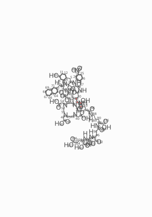 CN(C(=O)[C@@H](Cc1ccc(O)cc1)NC(=O)[C@H](Cc1ccc([N+](=O)[O-])cc1)NC(=O)CCC(C(=O)O)N1CCN(CC(=O)O)CCN(CC(=O)O)CCN(CC(=O)O)CC1)[C@H](Cc1ccc2ccccc2c1)C(=O)N[C@H](CCCCNC(=O)CCC(=O)NCCC[C@H](NC(=O)CC[C@H](NC(=O)N[C@@H](CCC(=O)O)C(=O)O)C(=O)O)C(=O)O)C(=O)O